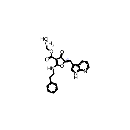 CCOC(=O)C1=C(NCCc2ccccc2)O/C(=C\c2c[nH]c3ncccc23)C1=O.Cl